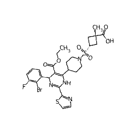 CCOC(=O)C1=C(C2CCN(S(=O)(=O)[C@H]3C[C@@](C)(C(=O)O)C3)CC2)NC(c2nccs2)=NC1c1cccc(F)c1Br